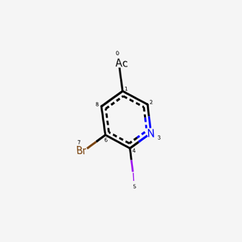 CC(=O)c1cnc(I)c(Br)c1